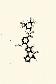 CCCOc1ccc(S(=O)(=O)NC2CC(C)(C)NC(C)(C)C2)cc1-c1[nH]c2c(c1Cl)n(CCC)c(=O)n1cnnc21